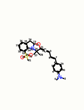 CN(C)c1ccc(C=CC=C=C2OC3Cc4cccc(S(C)(=O)=O)c4N3C2(C)C)cc1